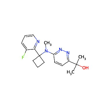 CN(c1ccc(C(C)(C)O)nn1)C1(c2ncccc2F)CCC1